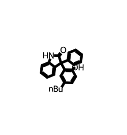 CCCCc1ccc(O)c(C2(c3ccccc3)C(=O)Nc3ccccc32)c1